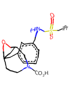 CC(C)S(=O)(=O)Nc1cccc(C23CCN(C(=O)O)CC2O3)c1